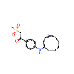 CS(=O)(=O)CC(=O)c1ccc(NC2C/C=C\CCCCC2)cc1